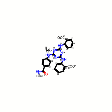 CC(C)(C)NC(=O)c1ccc(Nc2nc(Nc3ccccc3C(=O)[O-])nc(Nc3ccccc3C(=O)[O-])n2)cc1.[Na+].[Na+]